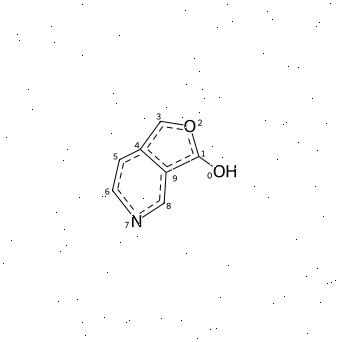 Oc1occ2ccncc12